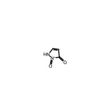 O=C1[C]=CN[N+]1=O